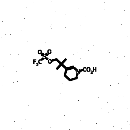 CC(C)(COS(=O)(=O)C(F)(F)F)C1=CN(C(=O)O)CCC1